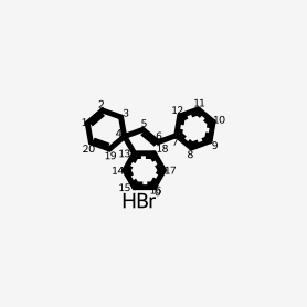 Br.C1=CCC(C=Cc2ccccc2)(c2ccccc2)C=C1